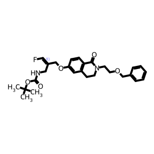 CC(C)(C)OC(=O)NC/C(=C\F)COc1ccc2c(c1)CCN(CCOCc1ccccc1)C2=O